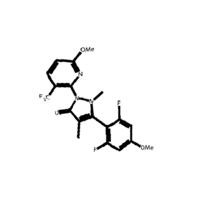 COc1cc(F)c(-c2c(C)c(=O)n(-c3nc(OC)ccc3C(F)(F)F)n2C)c(F)c1